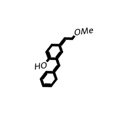 COCC=C1C=C(C=C2C=CC=CC2)C(O)=CC1